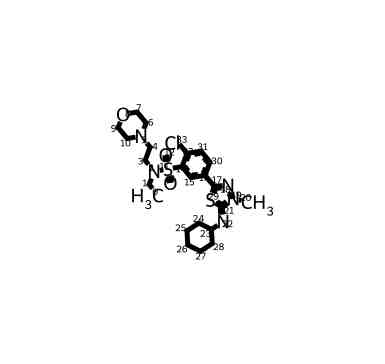 CCN(CCN1CCOCC1)S(=O)(=O)c1cc(-c2nn(C)c(=NC3CCCCC3)s2)ccc1Cl